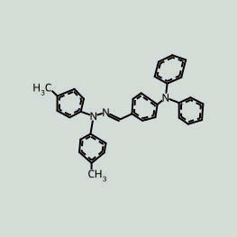 Cc1ccc(N(N=Cc2ccc(N(c3ccccc3)c3ccccc3)cc2)c2ccc(C)cc2)cc1